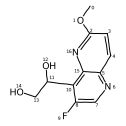 COc1ccc2ncc(F)c(C(O)CO)c2n1